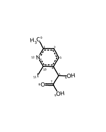 Cc1ccc(C(O)C(=O)O)c(I)n1